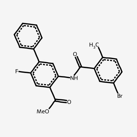 COC(=O)c1cc(F)c(-c2ccccc2)cc1NC(=O)c1cc(Br)ccc1C